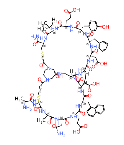 C[C@H](N)C(=O)N[C@H]1SCCC(=O)N2CCN3CC(O)(C2)NC[C@@H]2NC(=O)[C@H](NC(=O)[C@H](Cc4cccc5ccccc45)NC(=O)[C@H](CCC(=O)O)NC(=O)[C@H](CC(N)=O)NC(=O)[C@@H](C)NC1=O)C(C(=O)O)C[C@H](NC2=O)C(=O)N[C@@H](CC(=O)O)C(=O)N[C@@H](Cc1ccccc1)C(=O)N[C@@H](Cc1ccc(O)cc1)C(=O)N[C@@H](CCC(=O)O)C(=O)N[C@@H](C(C)(C)C)C(=O)N[C@H](C(N)=O)CSCC3=O